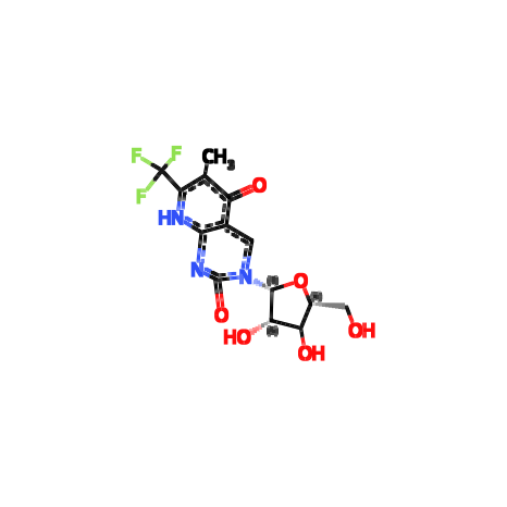 Cc1c(C(F)(F)F)[nH]c2nc(=O)n([C@@H]3O[C@H](CO)C(O)[C@@H]3O)cc2c1=O